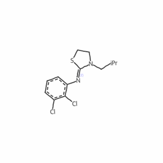 CC(C)CN1CCS/C1=N\c1cccc(Cl)c1Cl